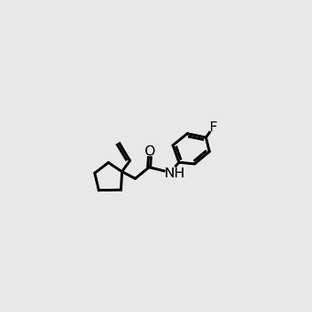 C=CC1(CC(=O)Nc2ccc(F)cc2)CCCC1